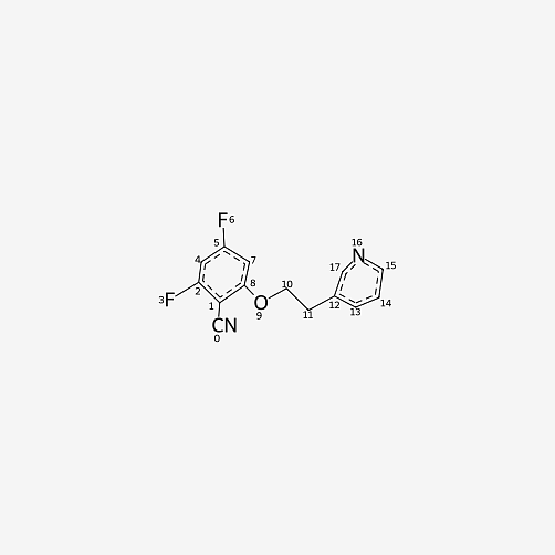 N#Cc1c(F)cc(F)cc1OCCc1cccnc1